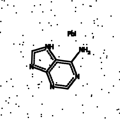 Nc1ncnc2nc[nH]c12.[Pb]